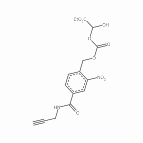 C#CCNC(=O)c1ccc(COC(=O)OC(O)C(=O)OCC)c([N+](=O)[O-])c1